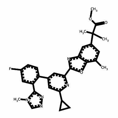 COC(=O)C(C)(C)c1cc(C)c2oc(-c3cc(-c4ccc(F)cc4-c4nncn4C)cc(C4CC4)n3)nc2c1